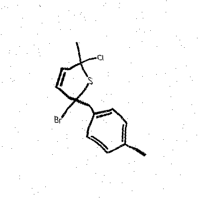 [CH2]C1(Cl)C=CC(Br)(c2ccc(C)cc2)S1